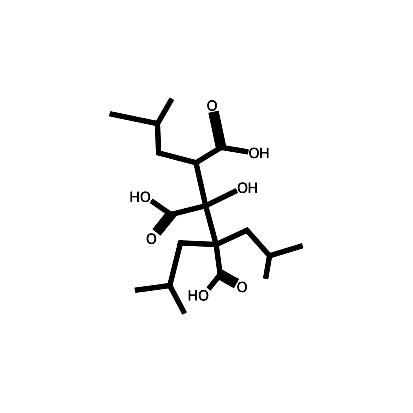 CC(C)CC(C(=O)O)C(O)(C(=O)O)C(CC(C)C)(CC(C)C)C(=O)O